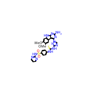 COc1cc2[nH]c3nc(N)nc(-n4cnc(NC(=S)Nc5ccc(S(=O)(=O)Nc6ncccn6)cc5)n4)c3c2cc1OC